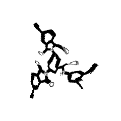 C#Cc1cc(C)cc(NC(=O)c2cc(N3C(=O)c4ccc(C#C)cc4C3=O)cc(N3C(=O)c4ccc(C#C)cc4C3=O)c2)c1